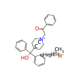 Br.CCCCCCCC.O=C(C[N+]12CCC(C(O)(c3ccccc3)c3ccccc3)(CC1)CC2)c1ccccc1.[Br-]